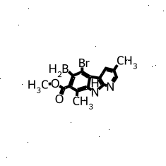 Bc1c(C(=O)OC)c(C)c2[nH]c3ncc(C)cc3c2c1Br